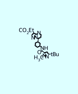 CCOC(=O)c1cnn2c(-c3cccc(NC(=O)c4cc(C(C)(C)C)nn4C)c3)ccnc12